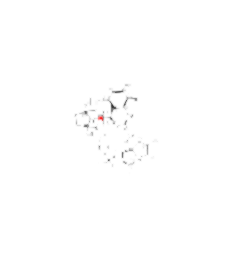 CC(C)(C)[Si](C)(C)OC[C@@H]1[C@@H]2CC[C@H](CN1c1nc(OC[C@@]34CCCN3C[C@H](F)C4)nc3c(F)c(Cl)cc(Br)c13)N2C(=O)O